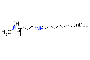 CCCCCCCCCCCCCCCCCCNCCC[SiH2]N(C)C